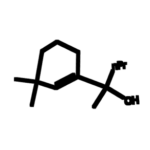 CCCC(C)(O)C1=CC(C)(C)CCC1